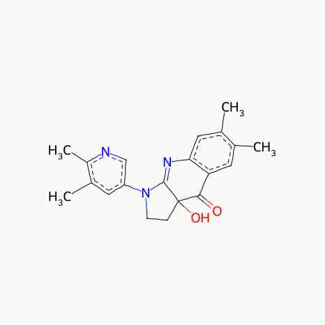 Cc1cc2c(cc1C)C(=O)C1(O)CCN(c3cnc(C)c(C)c3)C1=N2